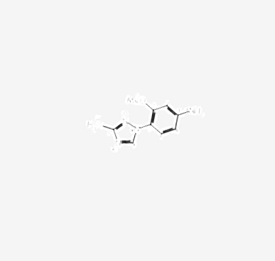 COc1cc(N)ccc1-n1cnc(C)n1